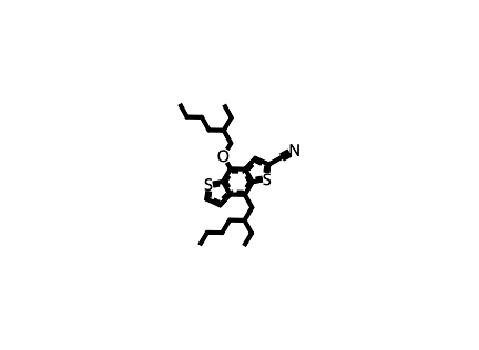 CCCCC(CC)COc1c2cc(C#N)sc2c(CC(CC)CCCC)c2ccsc12